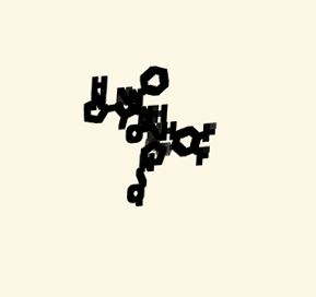 COCCN1C[C@@H](NC(=O)Nc2c(C)c(C3CCCN3)nn2-c2ccccc2)[C@H](c2ccc(F)c(F)c2)C1